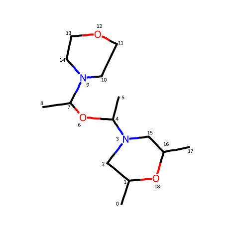 CC1CN(C(C)OC(C)N2CCOCC2)CC(C)O1